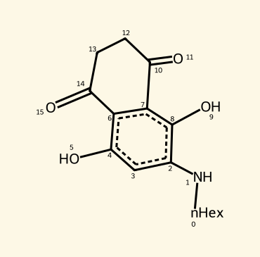 CCCCCCNc1cc(O)c2c(c1O)C(=O)CCC2=O